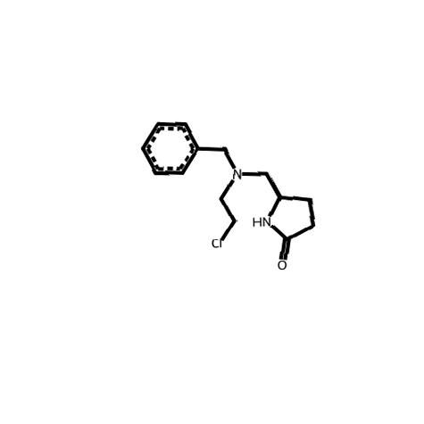 O=C1CCC(CN(CCCl)Cc2ccccc2)N1